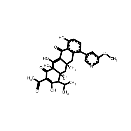 COc1cncc(-c2ccc(O)c3c2C[C@]2(C)C[C@]4(C)C(C(C)C)C(O)=C(C(C)=O)C(=O)[C@]4(O)C(O)=C2C3=O)c1